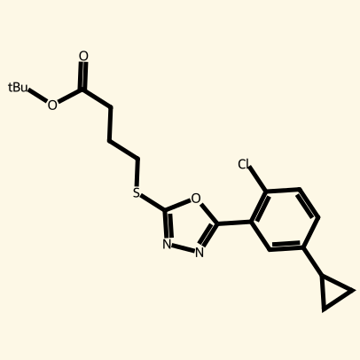 CC(C)(C)OC(=O)CCCSc1nnc(-c2cc(C3CC3)ccc2Cl)o1